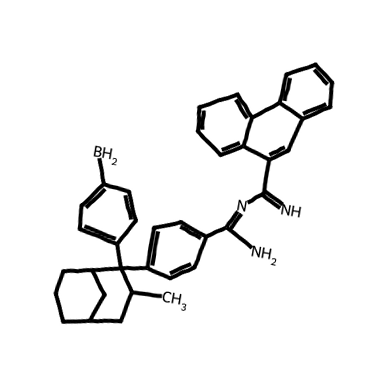 Bc1ccc(C2(c3ccc(/C(N)=N/C(=N)c4cc5ccccc5c5ccccc45)cc3)C(C)CC3CCCC2C3)cc1